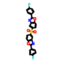 O=S(=O)(c1ccc2oc(-c3ccc(F)cc3)nc2c1)c1ccc2oc(-c3ccc(F)cc3)nc2c1